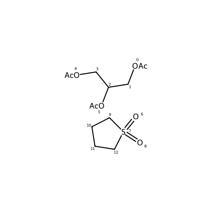 CC(=O)OCC(COC(C)=O)OC(C)=O.O=S1(=O)CCCC1